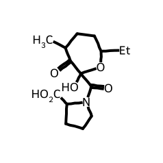 CCC1CCC(C)C(=O)C(O)(C(=O)N2CCCC2C(=O)O)O1